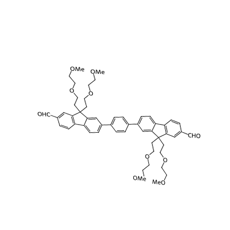 COCCOCCC1(CCOCCOC)c2cc(C=O)ccc2-c2ccc(-c3ccc(-c4ccc5c(c4)C(CCOCCOC)(CCOCCOC)c4cc(C=O)ccc4-5)cc3)cc21